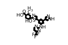 C[C@@H]1C[C@](O)(c2ncc(-c3cc(Nc4nccc(C(F)(F)F)n4)cc(-c4cn[nH]c4)c3)s2)CCC1C(=O)O